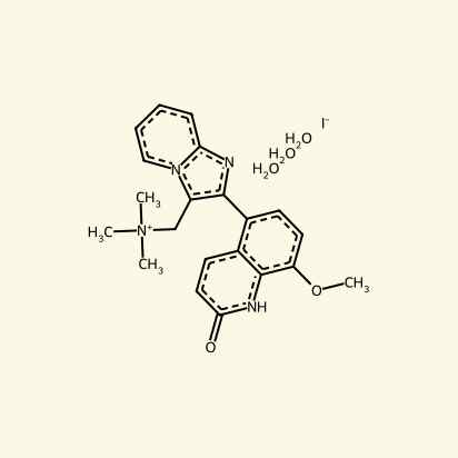 COc1ccc(-c2nc3ccccn3c2C[N+](C)(C)C)c2ccc(=O)[nH]c12.O.O.O.[I-]